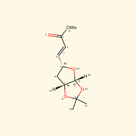 COC(=O)/C=C/[C@H]1C[C@H]2OC(C)(C)O[C@H]2O1